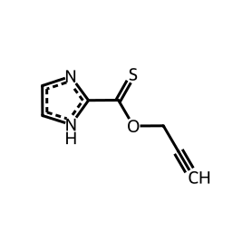 C#CCOC(=S)c1ncc[nH]1